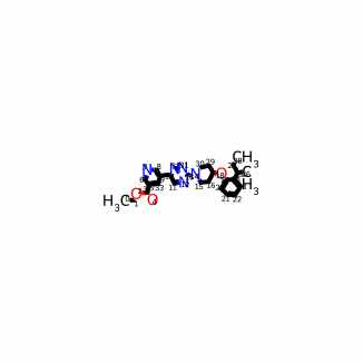 CCOC(=O)c1cncc(-c2cnc(N3CCC(Oc4ccccc4C(C)CC)CC3)nn2)c1